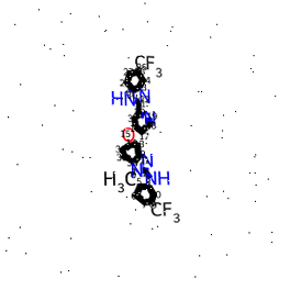 Cn1c(Nc2cccc(C(F)(F)F)c2)nc2cc(Oc3ccnc(-c4nc5cc(C(F)(F)F)ccc5[nH]4)c3)ccc21